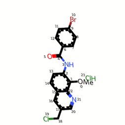 COc1c(NC(=O)c2ccc(Br)cc2)ccc2cc(CCl)cnc12.Cl